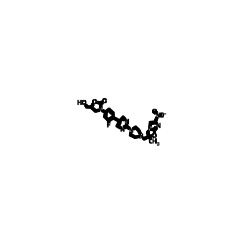 CC1(CN2CCN(c3ncc(-c4ccc(N5CC(CO)OC5=O)cc4F)cn3)CC2)Cn2cc([N+](=O)[O-])nc2O1